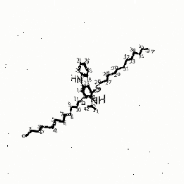 CCCCCCCCCCCCSc1cc(Nc2ccccc2)cc(SCCCCCCCCCCCC)c1NC(C)C